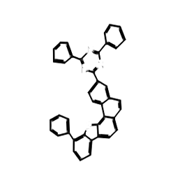 c1ccc(-c2nc(-c3ccccc3)nc(-c3ccc4c(ccc5ccc6c7cccc(-c8ccccc8)c7sc6c54)c3)n2)cc1